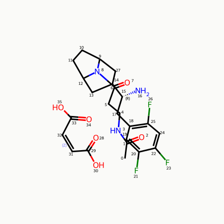 CC(=O)NCCC(=O)N1C2CCC1CC([C@H](N)Cc1cc(F)c(F)cc1F)C2.O=C(O)/C=C\C(=O)O